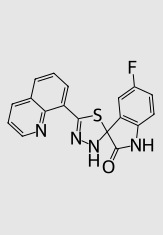 O=C1Nc2ccc(F)cc2C12NN=C(c1cccc3cccnc13)S2